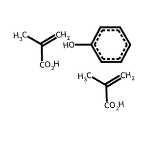 C=C(C)C(=O)O.C=C(C)C(=O)O.Oc1ccccc1